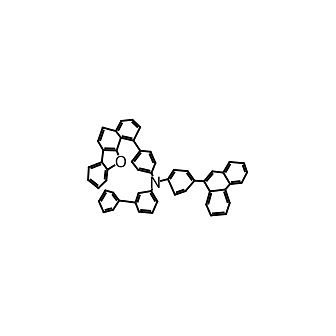 c1ccc(-c2cccc(N(c3ccc(-c4cc5ccccc5c5ccccc45)cc3)c3ccc(-c4cccc5ccc6c7ccccc7oc6c45)cc3)c2)cc1